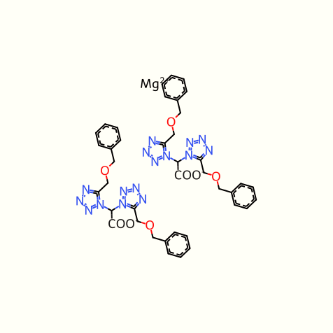 O=C([O-])C(n1nnnc1COCc1ccccc1)n1nnnc1COCc1ccccc1.O=C([O-])C(n1nnnc1COCc1ccccc1)n1nnnc1COCc1ccccc1.[Mg+2]